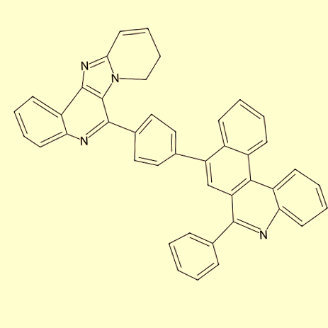 C1=Cc2nc3c4ccccc4nc(-c4ccc(-c5cc6c(-c7ccccc7)nc7ccccc7c6c6ccccc56)cc4)c3n2CC1